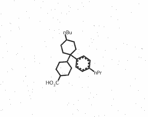 CCCCC1CCC(c2ccc(CCC)cc2)(C2CCC(C(=O)O)CC2)CC1